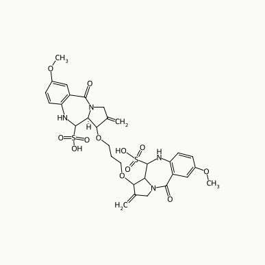 C=C1CN2C(=O)c3cc(OC)ccc3NC(S(=O)(=O)O)C2C1OCCCOC1C(=C)CN2C(=O)c3cc(OC)ccc3NC(S(=O)(=O)O)[C@H]12